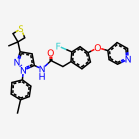 Cc1ccc(-n2nc(C3(C)CSC3)cc2NC(=O)Cc2ccc(Oc3ccncc3)cc2F)cc1